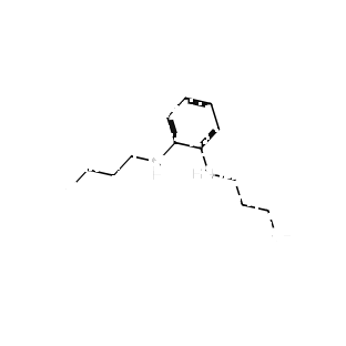 CCCCNc1ccccc1NCCCC